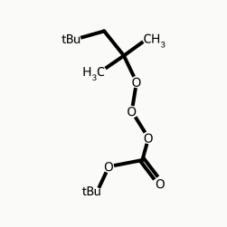 CC(C)(C)CC(C)(C)OOOC(=O)OC(C)(C)C